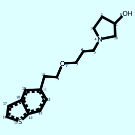 OC1CCN(CCCOCCc2ccc3sccc3c2)C1